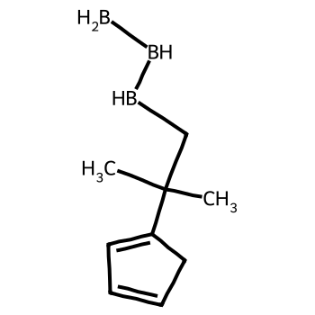 BBBCC(C)(C)C1=CC=CC1